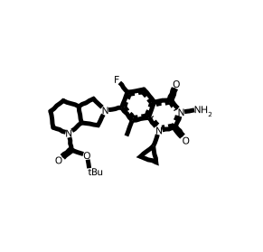 Cc1c(N2CC3CCCN(C(=O)OC(C)(C)C)C3C2)c(F)cc2c(=O)n(N)c(=O)n(C3CC3)c12